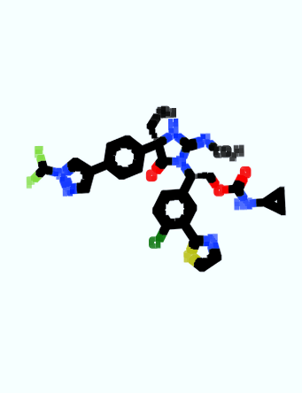 CC(C)(C)C[C@]1(c2ccc(-c3cnn(C(F)F)c3)cc2)NC(=NC(=O)O)N([C@H](COC(=O)NC2CC2)c2ccc(Cl)c(-c3nccs3)c2)C1=O